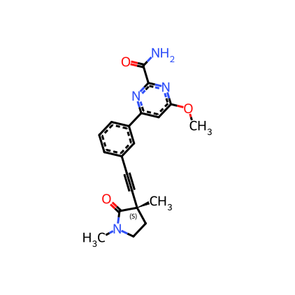 COc1cc(-c2cccc(C#C[C@]3(C)CCN(C)C3=O)c2)nc(C(N)=O)n1